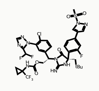 CC(C)(C)C[C@]1(c2ccc(-c3cnn(S(C)(=O)=O)c3)cc2F)NC(=N)N([C@H](COC(=O)NC2(C(F)(F)F)CC2)c2ccc(Cl)c(-n3ncnc3C(F)F)c2)C1=O